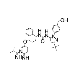 CC(C)C(=N)n1cc(O[C@H]2CC[C@H](NC(=O)Nc3cc(C(C)(C)C)nn3-c3ccc(CO)cc3)c3ccccc32)ccc1=N